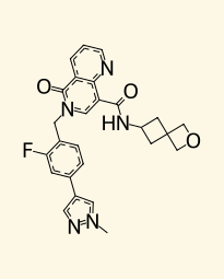 Cn1cc(-c2ccc(Cn3cc(C(=O)NC4CC5(COC5)C4)c4ncccc4c3=O)c(F)c2)cn1